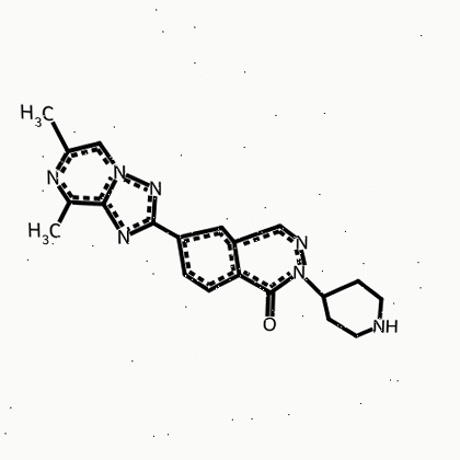 Cc1cn2nc(-c3ccc4c(=O)n(C5CCNCC5)ncc4c3)nc2c(C)n1